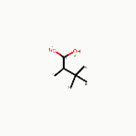 CC(C(O)O)C(C)(C)C